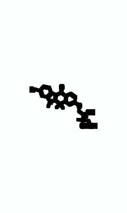 Cn1c2c(c3ccc(Br)cc31)C(=O)c1ccc(OC[C@@H](O)C(C)(O)CO)cc1C2(C)C